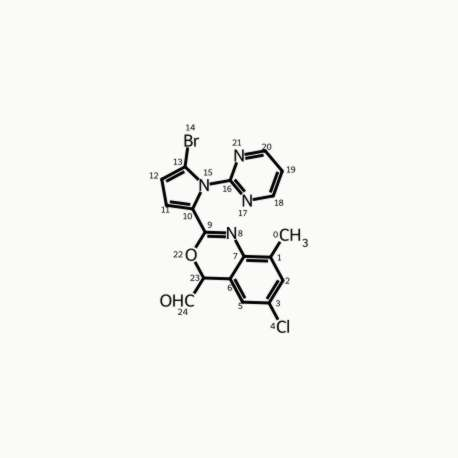 Cc1cc(Cl)cc2c1N=C(c1ccc(Br)n1-c1ncccn1)OC2C=O